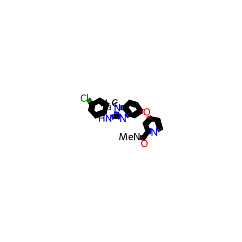 CNC(=O)c1cc(Oc2ccc3c(c2)nc(Nc2ccc(Cl)cc2)n3C)ccn1